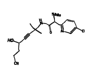 CSC(C(=O)NC(C)(C)C#CC(O)CCC#N)c1ccc(Cl)cn1